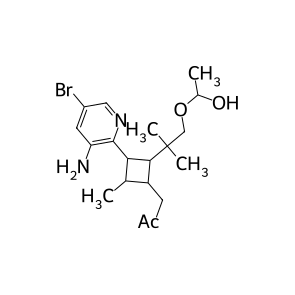 CC(=O)CC1C(C)C(c2ncc(Br)cc2N)C1C(C)(C)COC(C)O